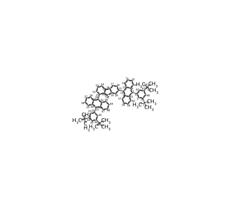 CC(C)(C)c1cc(-c2c3ccccc3c(-c3ccc4c(c3)sc3c(-c5c6ccccc6c(-c6cc(C(C)(C)C)cc(C(C)(C)C)c6)c6ccccc56)cccc34)c3ccccc23)cc(C(C)(C)C)c1